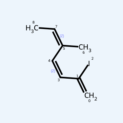 C=C(I)/C=C\C(C)=C/C